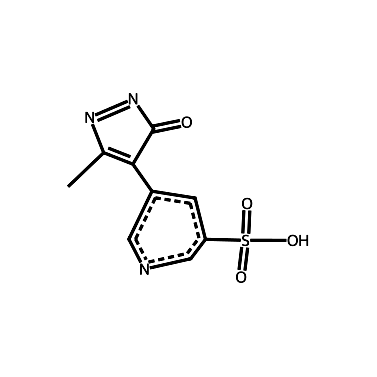 CC1=C(c2cncc(S(=O)(=O)O)c2)C(=O)N=N1